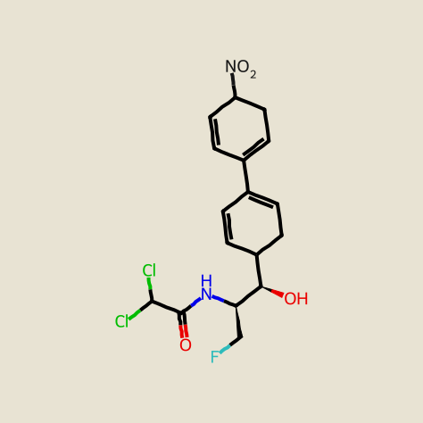 O=C(N[C@H](CF)[C@H](O)C1C=CC(C2=CCC([N+](=O)[O-])C=C2)=CC1)C(Cl)Cl